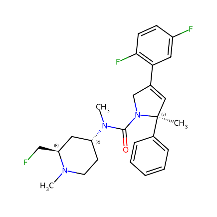 CN1CC[C@@H](N(C)C(=O)N2CC(c3cc(F)ccc3F)=C[C@@]2(C)c2ccccc2)C[C@@H]1CF